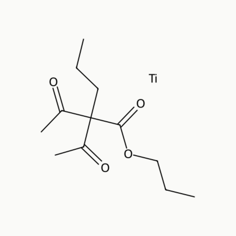 CCCOC(=O)C(CCC)(C(C)=O)C(C)=O.[Ti]